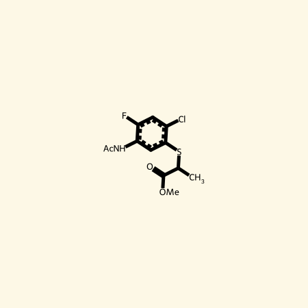 COC(=O)C(C)Sc1cc(NC(C)=O)c(F)cc1Cl